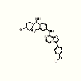 COc1ccc(-c2cnc3c(Nc4ccc(C(=N)N5CCC(O)CC5)c(C)c4)nccn23)cc1